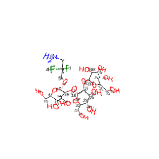 NCC(F)(F)CO[C@H]1OC(CO)[C@@H](O)C(O)C1O[C@H]1OC(CO)[C@@H](O)C(O)C1O[C@@H]1OC(CO)[C@@H](O)C(O)C1O